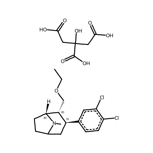 CCOC[C@@H]1[C@@H](c2ccc(Cl)c(Cl)c2)CC2CC[C@H]1N2C.O=C(O)CC(O)(CC(=O)O)C(=O)O